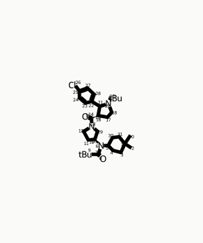 CC1(C)CCC(N(C(=O)C(C)(C)C)[C@H]2CCN(C(=O)[C@H]3CCN(C(C)(C)C)C3c3ccc(Cl)cc3)C2)CC1